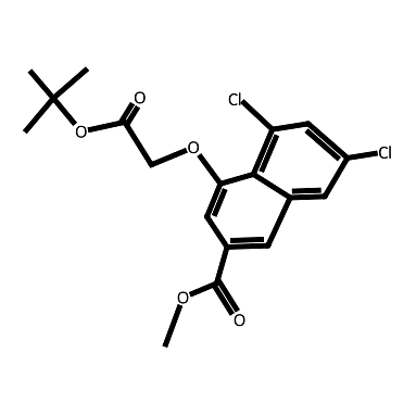 COC(=O)c1cc(OCC(=O)OC(C)(C)C)c2c(Cl)cc(Cl)cc2c1